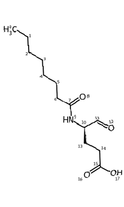 CCCCCCCC(=O)N[C@@H]([C]=O)CCC(=O)O